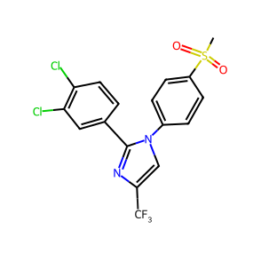 CS(=O)(=O)c1ccc(-n2cc(C(F)(F)F)nc2-c2ccc(Cl)c(Cl)c2)cc1